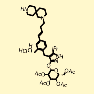 CC(=O)OC[C@H]1O[C@@H](Oc2n[nH]c(C(C)C)c2Cc2ccc(/C=C/CCN3CCCC4(CCNCC4)C3)cc2C)[C@H](OC(C)=O)[C@@H](OC(C)=O)[C@@H]1OC(C)=O.Cl.Cl